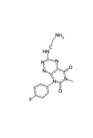 Cn1c(=O)c2nc(NCCN)nnc2n(-c2ccc(F)cc2)c1=O